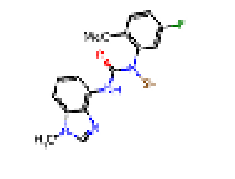 COc1ccc(F)cc1N(S)C(=O)Nc1cccc2c1ncn2C